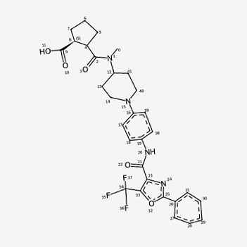 CN(C(=O)C1CCC[C@@H]1C(=O)O)C1CCN(c2ccc(NC(=O)c3nc(-c4ccccc4)oc3C(F)(F)F)cc2)CC1